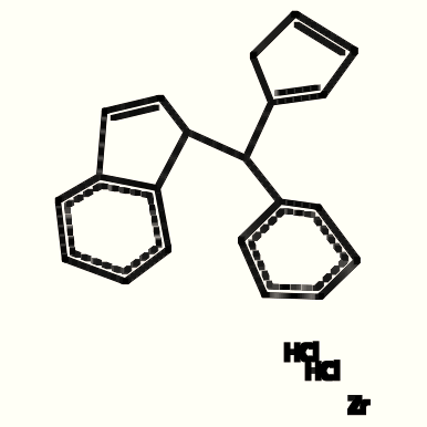 C1=CCC(C(c2ccccc2)C2C=Cc3ccccc32)=C1.Cl.Cl.[Zr]